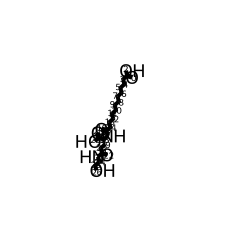 O=C(O)CCCCCCCCCCCCC(=O)N[C@@H](CCC(=O)NCCO)C(=O)O